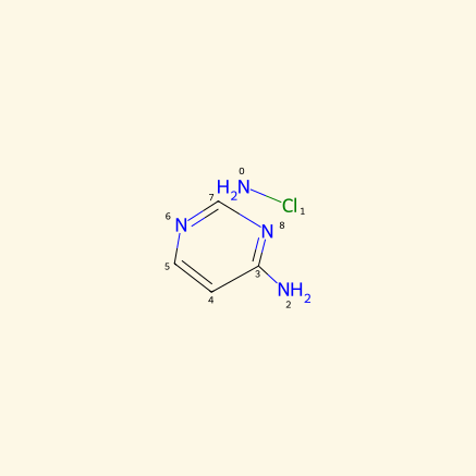 NCl.Nc1ccncn1